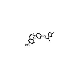 C[C@@H]1CCN([C@@H](C)COc2ccc(C3(C)C=Cc4cc(O)ccc4O3)cc2)C1